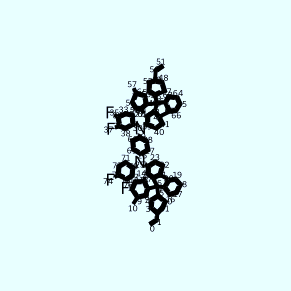 C=Cc1ccc(C2(c3cc(C)ccc3C)c3ccccc3-c3ccc(N(c4ccc(N(c5ccc(F)c(F)c5)c5ccc6c(c5)C(c5ccc(C=C)cc5)(c5cc(C)ccc5C)c5ccccc5-6)cc4)c4ccc(F)c(F)c4)cc32)cc1